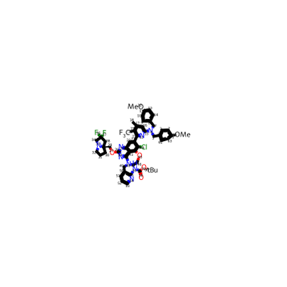 COc1ccc(CN(Cc2ccc(OC)cc2)c2cc(C)c(C(F)(F)F)c(-c3cc4nc(OC[C@@]56CCCN5CC(F)(F)C6)nc5c4c(c3Cl)OCCN5Cc3cccnc3NC(=O)OC(C)(C)C)n2)cc1